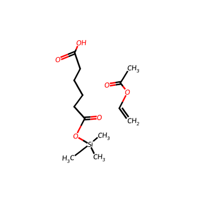 C=COC(C)=O.C[Si](C)(C)OC(=O)CCCCC(=O)O